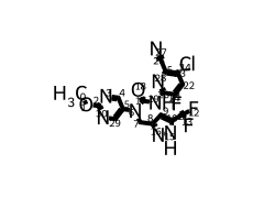 COc1ncc(N(Cc2cc(C(F)(F)F)[nH]n2)C(=O)Nc2ccc(Cl)c(C#N)n2)cn1